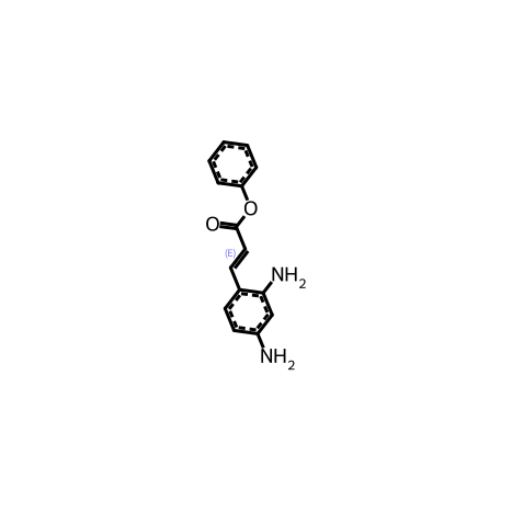 Nc1ccc(/C=C/C(=O)Oc2ccccc2)c(N)c1